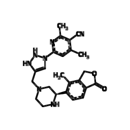 Cc1cc(N2C=C(CN3CCN[C@H](c4ccc5c(c4C)COC5=O)C3)NN2)nc(C)c1C#N